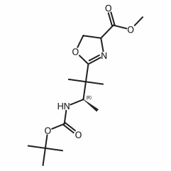 COC(=O)C1COC(C(C)(C)[C@@H](C)NC(=O)OC(C)(C)C)=N1